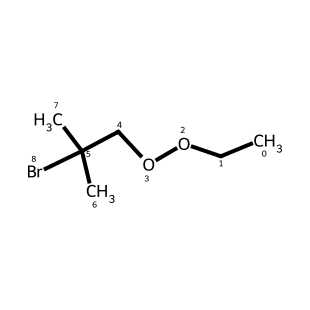 CCOOCC(C)(C)Br